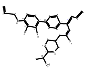 C=C/C=C(\C=C(\F)CC1COC(C(C)O)OC1)c1ccc(-c2ccc(OCC=C)c(F)c2F)cc1